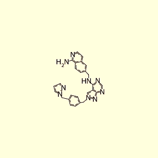 Nc1nccc2cc(CNc3ncnc4nn(Cc5ccc(Cn6cccn6)cc5)cc34)ccc12